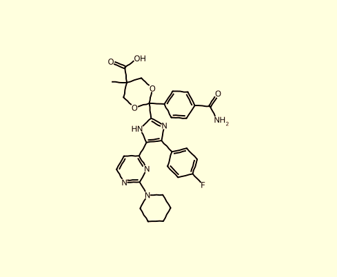 CC1(C(=O)O)COC(c2ccc(C(N)=O)cc2)(c2nc(-c3ccc(F)cc3)c(-c3ccnc(N4CCCCC4)n3)[nH]2)OC1